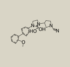 COc1ccccc1-c1ccc(N2CCN(C3CCN(C#N)C3)S2(O)O)cc1